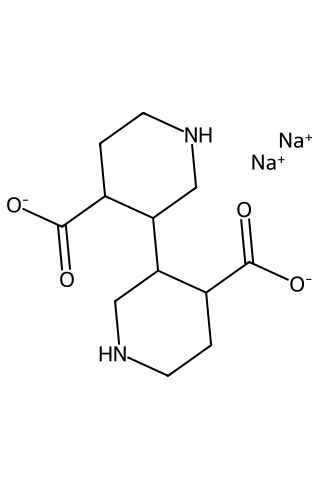 O=C([O-])C1CCNCC1C1CNCCC1C(=O)[O-].[Na+].[Na+]